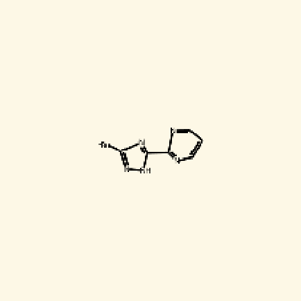 CC(C)(C)c1n[nH]c(-c2ncccn2)n1